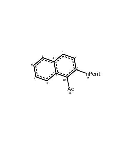 CCCCCc1ccc2ccccc2c1C(C)=O